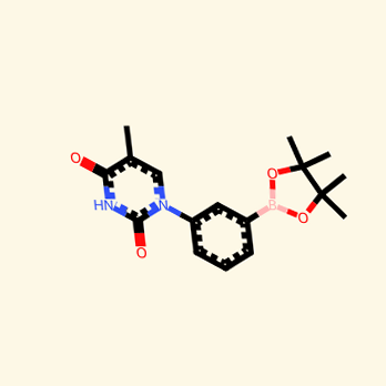 Cc1cn(-c2cccc(B3OC(C)(C)C(C)(C)O3)c2)c(=O)[nH]c1=O